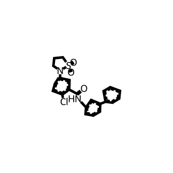 O=C(Nc1cccc(-c2ccccc2)c1)c1cc(N2CCCS2(=O)=O)ccc1Cl